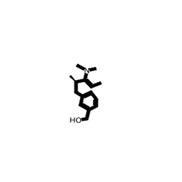 CC=C([C@H](C)Cc1cccc(CO)c1)N(C)C